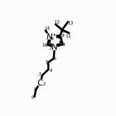 CCCCCCCn1cc(C(C)(C)C)[n+](C)c1